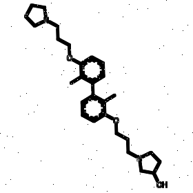 Cc1c(OCCCN2CCCC2)cccc1-c1cccc(OCCCN2CCC(O)C2)c1C